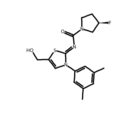 Cc1cc(C)cc(-n2cc(CO)s/c2=N\C(=O)N2CC[C@@H](F)C2)c1